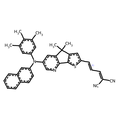 Cc1cc(N(c2cnc3c(c2)C(C)(C)c2cc(/C=C/C=C(C#N)C#N)sc2-3)c2ccc3ccccc3c2)cc(C)c1C